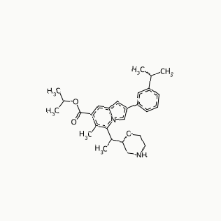 Cc1c(C(=O)OC(C)C)cc2cc(-c3cccc(C(C)C)c3)cn2c1C(C)C1CNCCO1